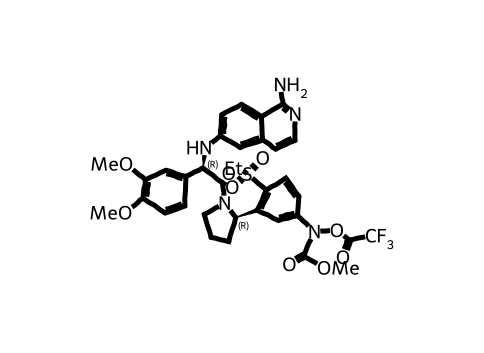 CCS(=O)(=O)c1ccc(N(OC(=O)C(F)(F)F)C(=O)OC)cc1[C@H]1CCCN1C(=O)[C@H](Nc1ccc2c(N)nccc2c1)c1ccc(OC)c(OC)c1